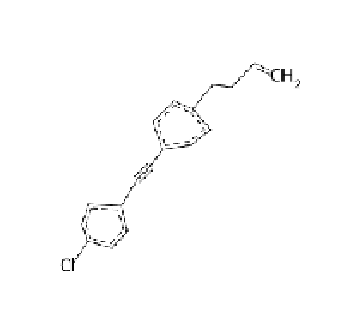 C=CCCc1ccc(C#Cc2ccc(Cl)cc2)cc1